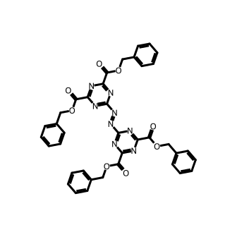 O=C(OCc1ccccc1)c1nc(N=Nc2nc(C(=O)OCc3ccccc3)nc(C(=O)OCc3ccccc3)n2)nc(C(=O)OCc2ccccc2)n1